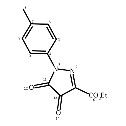 CCOC(=O)C1=NN(c2ccc(C)cc2)C(=O)C1=O